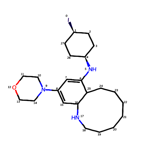 I[C@H]1CC[C@@H](NC2=CC(N3CCOCC3)=CC3NCCCCCCCC23)CC1